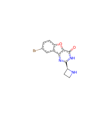 O=c1[nH]c([C@@H]2CCN2)nc2c1oc1ccc(Br)cc12